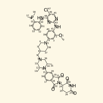 COc1cc(N2CCC(CN3CC(C)N(c4ccc5c(c4)C(=O)N(C4CCC(=O)NC4=O)C5=O)C(C)C3)CC2)ccc1Nc1ncc(Cl)c(Nc2ccccc2P(C)C)n1